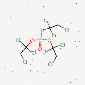 O=P(OC(Cl)(Cl)CCl)(OC(Cl)(Cl)CCl)OC(Cl)(Cl)CCl